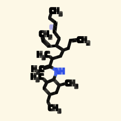 C=C=CC(C/C=C/CC)C(CC=C)CC(C)C(=C)NC1C(C)CC(CC)CC1C